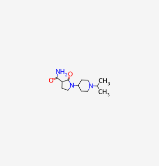 CC(C)N1CCC(N2CCC(C(N)=O)C2=O)CC1